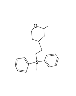 CC1CC(CCS(C)(c2ccccc2)c2ccccc2)CCO1